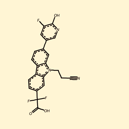 N#CCCn1c2cc(-c3cnc(O)c(F)c3)ccc2c2ccc(C(F)(F)C(=O)O)cc21